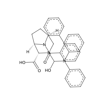 O=C(O)[C@@H]1[C@H]2CC[C@@H](CN1C(O)N(c1ccccc1)c1ccccc1)N2C(=O)c1ccccc1-c1ccccc1